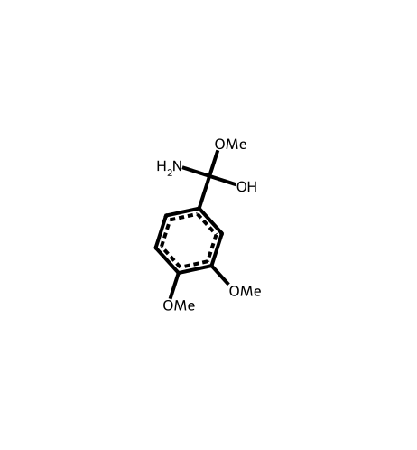 COc1ccc(C(N)(O)OC)cc1OC